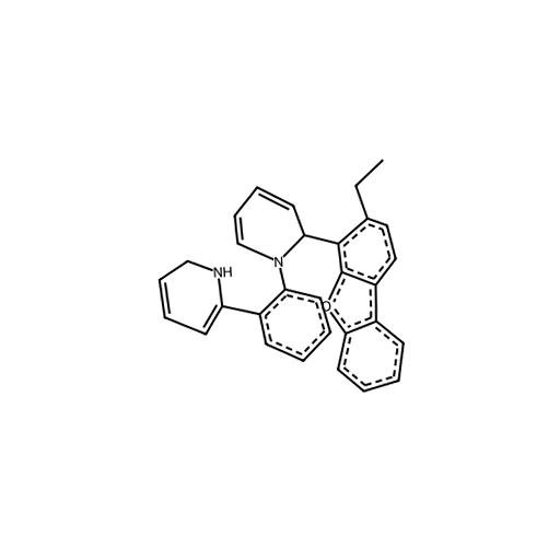 CCc1ccc2c(oc3ccccc32)c1C1C=CC=CN1c1ccccc1C1=CC=CCN1